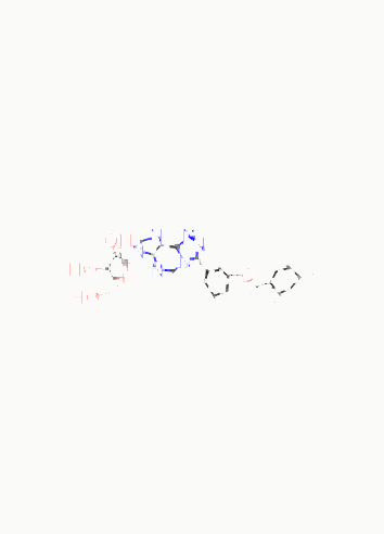 OC[C@H]1O[C@@H](n2cnc3c2ncn2c(-c4cccc(OCc5ccccc5)c4)nnc32)[C@H](O)[C@@H]1O